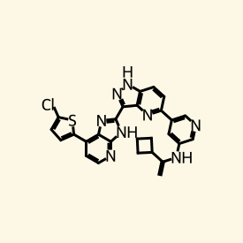 C=C(Nc1cncc(-c2ccc3[nH]nc(-c4nc5c(-c6ccc(Cl)s6)ccnc5[nH]4)c3n2)c1)C1CCC1